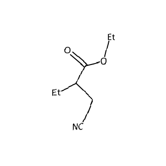 CCOC(=O)C(CC)CC#N